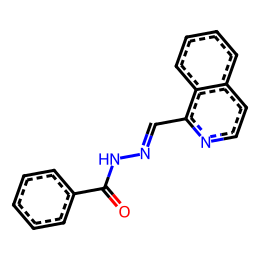 O=C(N/N=C/c1nccc2ccccc12)c1ccccc1